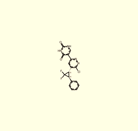 O=c1[nH]cc(-c2cc([C@@H]3[C@@H](c4ccccc4)C3(F)F)c(Cl)nn2)c(=O)[nH]1